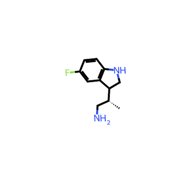 C[C@H](CN)C1CNc2ccc(F)cc21